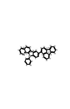 c1ccc(-n2c3ccc(-c4ccc5c6c(cccc46)-c4ccccc4-5)cc3c3ccc4cccnc4c32)cc1